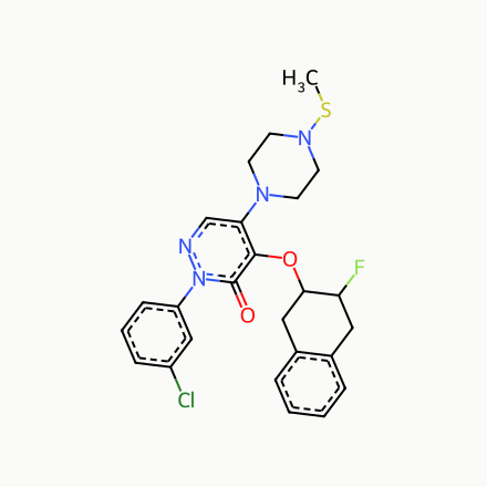 CSN1CCN(c2cnn(-c3cccc(Cl)c3)c(=O)c2OC2Cc3ccccc3CC2F)CC1